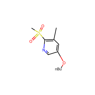 CCCCOc1cnc(S(C)(=O)=O)c(C)c1